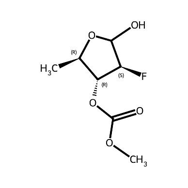 COC(=O)O[C@H]1[C@H](F)C(O)O[C@@H]1C